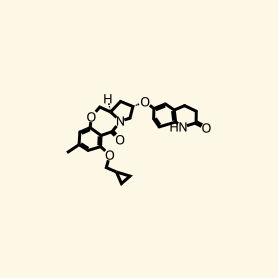 Cc1cc(OCC2CC2)c2c(c1)OC[C@H]1C[C@H](Oc3ccc4c(c3)CCC(=O)N4)CN1C2=O